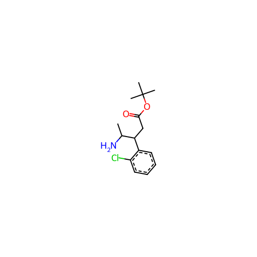 CC(N)C(CC(=O)OC(C)(C)C)c1ccccc1Cl